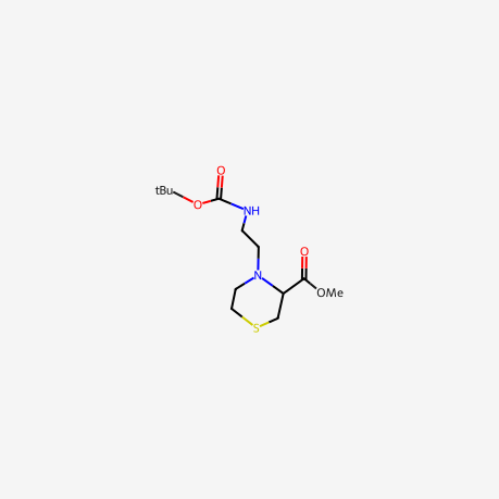 COC(=O)C1CSCCN1CCNC(=O)OC(C)(C)C